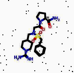 N=C(N)N1CCC(CN(CC(=O)N2CCC[C@H]2C(N)=O)S(=O)(=O)Cc2ccccc2)CC1